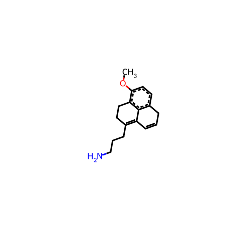 COc1ccc2c3c1CCC(CCCN)=C3C=CC2